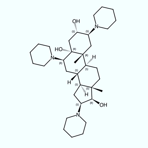 C[C@]12CC[C@H]3[C@@H](C[C@@H](N4CCCCC4)[C@@]4(O)C[C@H](O)[C@@H](N5CCCCC5)C[C@]34C)[C@@H]1C[C@H](N1CCCCC1)[C@@H]2O